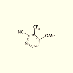 COc1ccnc(C#N)c1C(F)(F)F